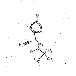 C#C[C@@H](N[S+]([O-])C(C)(C)C)c1ccc(Br)cn1